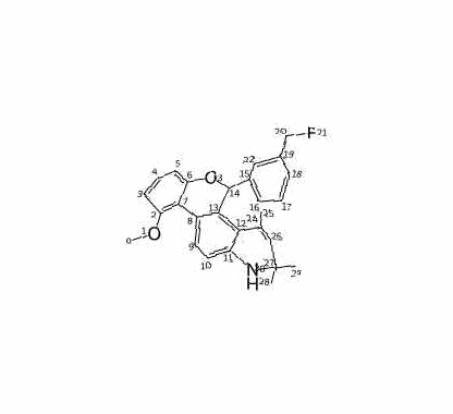 COc1cccc2c1-c1ccc3c(c1C(c1cccc(CF)c1)O2)C(C)=CC(C)(C)N3